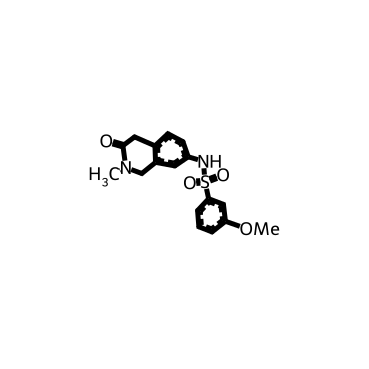 COc1cccc(S(=O)(=O)Nc2ccc3c(c2)CN(C)C(=O)C3)c1